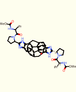 COC(=O)NC(C(=O)N1CCCC1c1nc2ccc(-c3cc4ccc3CCc3ccc(c(-c5ccc6nc([C@@H]7CCCN7C(=O)[C@@H](NC(=O)OC)C(C)C)[nH]c6c5)c3)CC4)cc2[nH]1)C(C)C